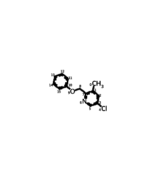 Cc1cc(Cl)cnc1COc1[c]cccc1